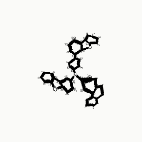 c1ccc2c(c1)ccc1ccc(N(c3ccc(-c4cccc5c4oc4ccccc45)cc3)c3ccc4oc5ccccc5c4c3)cc12